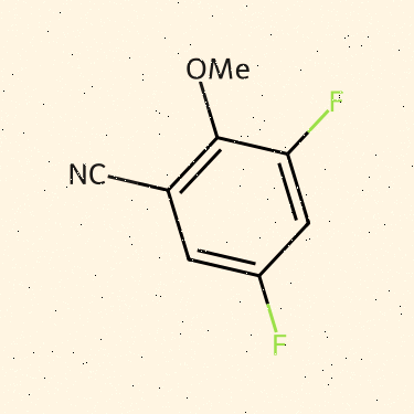 COc1c(F)cc(F)cc1C#N